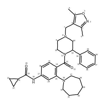 Cc1noc(C)c1CN1CCN(C(=O)c2ccc(NC(=O)C3CC3)cc2N2CCCCCC2)C(c2ccccc2)C1